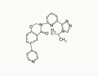 CC(C)n1cnnc1-c1cccc(N2COc3ccc(-c4ccncc4)cc3C2=O)n1